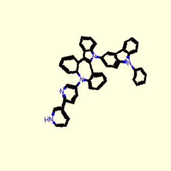 C1=CNCC(c2ccc(N3c4ccccc4-c4c(c5ccccc5n4-c4ccc5c(c4)c4ccccc4n5-c4ccccc4)C4C=CC=CC43)cn2)=C1